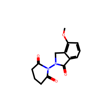 COc1cccc2c1CN(N1C(=O)CCCC1=O)C2=O